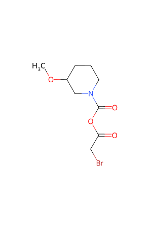 COC1CCCN(C(=O)OC(=O)CBr)C1